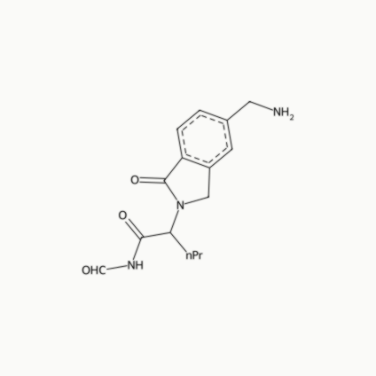 CCCC(C(=O)NC=O)N1Cc2cc(CN)ccc2C1=O